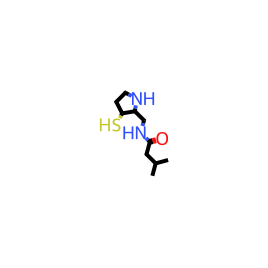 CC(C)CC(=O)NCC1NCCC1S